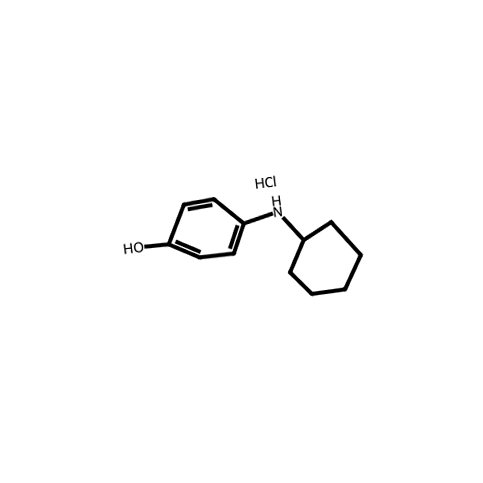 Cl.Oc1ccc(NC2CCCCC2)cc1